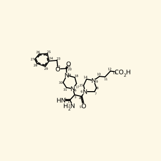 N=C(N)C(C(=O)N1CCN(CCCC(=O)O)CC1)N1CCN(C(=O)OCc2ccccc2)CC1